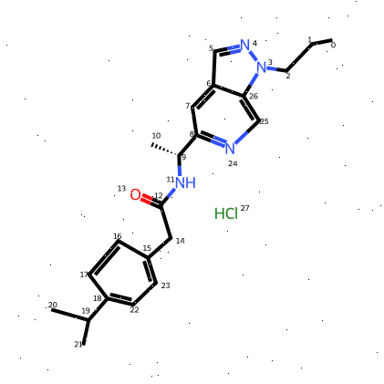 CCCn1ncc2cc([C@@H](C)NC(=O)Cc3ccc(C(C)C)cc3)ncc21.Cl